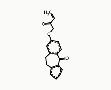 C=CC(=O)COc1ccc2c(c1)CCc1ccccc1C2=O